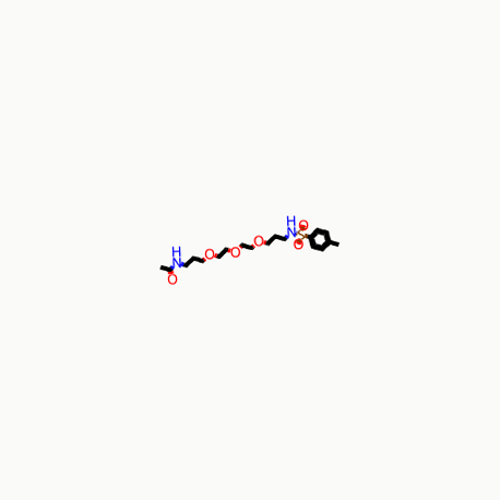 CC(=O)NCCCOCCOCCOCCCNS(=O)(=O)c1ccc(C)cc1